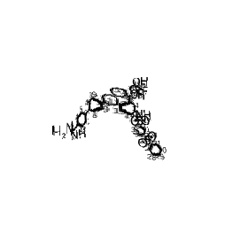 N=C(N)c1ccc(-c2ccc(Oc3ccc(NS(=O)(=O)c4cc(S(=O)(=O)c5ccccc5)cs4)cc3C(=O)O)cc2)cc1.O=C(O)C(F)(F)F